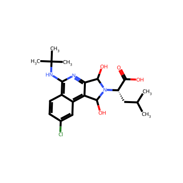 CC(C)C[C@@H](C(=O)O)N1C(O)c2nc(NC(C)(C)C)c3ccc(Cl)cc3c2C1O